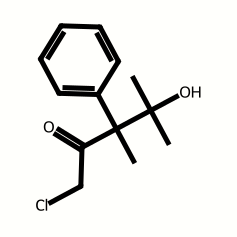 CC(C)(O)C(C)(C(=O)CCl)c1ccccc1